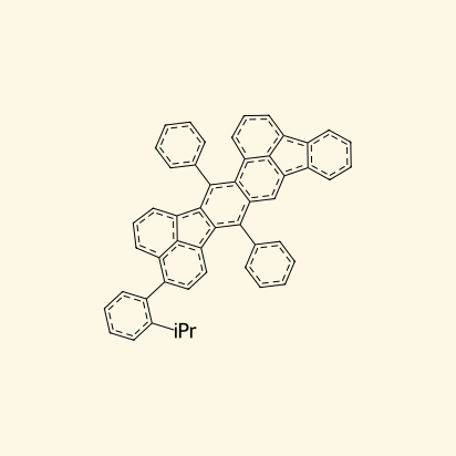 CC(C)c1ccccc1-c1ccc2c3c(-c4ccccc4)c4cc5c6ccccc6c6cccc(c4c(-c4ccccc4)c3c3cccc1c23)c65